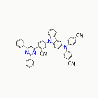 N#Cc1ccc(N(c2ccc(C#N)cc2)c2ccc3c(c2)c2ccccc2n3-c2ccc(-c3cc(-c4ccccc4)nc(-c4ccccc4)n3)c(C#N)c2)cc1